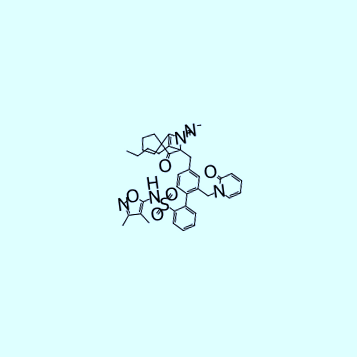 CCCCC1=C2[N+](=[N-])C1(Cc1ccc(-c3ccccc3S(=O)(=O)Nc3onc(C)c3C)c(Cn3ccccc3=O)c1)C(=O)C21CCCC1